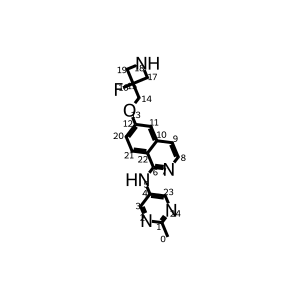 Cc1ncc(Nc2nccc3cc(OCC4(F)CNC4)ccc23)cn1